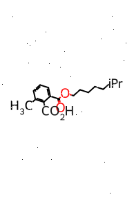 Cc1cccc(C(=O)OCCCCCC(C)C)c1C(=O)O